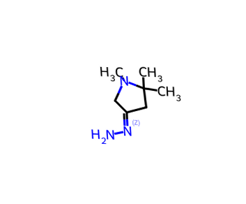 CN1C/C(=N\N)CC1(C)C